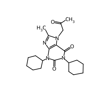 CC(=O)Cn1c(C)nc2c1c(=O)n(C1CCCCC1)c(=O)n2C1CCCCC1